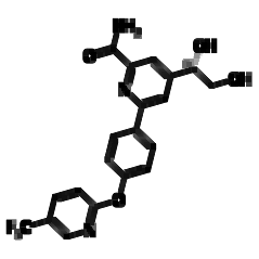 NC(=O)c1cc([C@H](O)CO)cc(-c2ccc(Oc3ccc(C(F)(F)F)cn3)cc2)n1